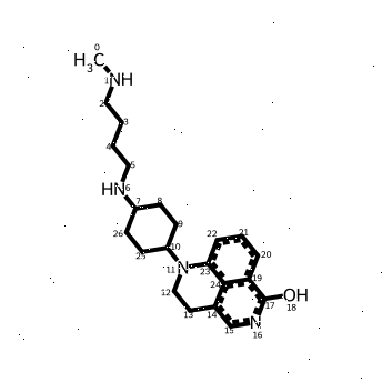 CNCCCCNC1CCC(N2CCc3cnc(O)c4cccc2c34)CC1